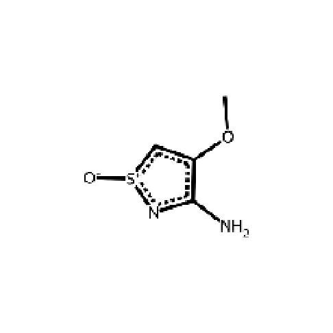 COc1c[s+]([O-])nc1N